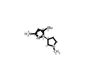 CN1CC[C@H](n2nc(N)cc2C(C)(C)C)C1